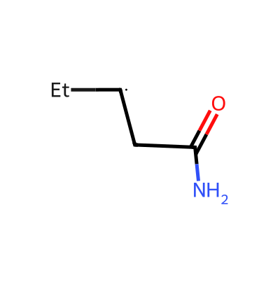 CC[CH]CC(N)=O